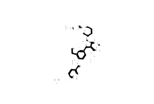 COc1ccc(C(=O)Nc2ccc(-c3nn(C4CCCN(C(=O)OC(C)(C)C)C4)c4ncnc(N)c34)c3c2CCO3)cn1